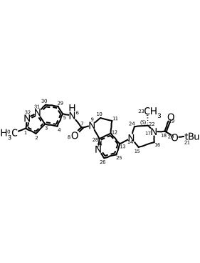 Cc1cc2cc(NC(=O)N3CCc4c(N5CCN(C(=O)OC(C)(C)C)[C@@H](C)C5)ccnc43)ccn2n1